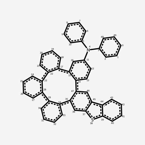 c1ccc(N(c2ccccc2)c2ccc3c(c2)c2ccccc2c2ccccc2c2ccccc2c2cc4sc5ccccc5c4cc32)cc1